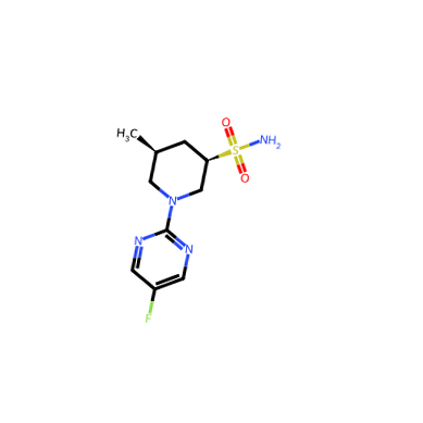 C[C@H]1C[C@@H](S(N)(=O)=O)CN(c2ncc(F)cn2)C1